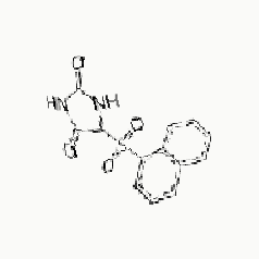 O=C1NC(=O)C(S(=O)(=O)c2cccc3ccccc23)N1